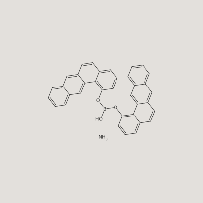 N.OB(Oc1cccc2ccc3cc4ccccc4cc3c12)Oc1cccc2ccc3cc4ccccc4cc3c12